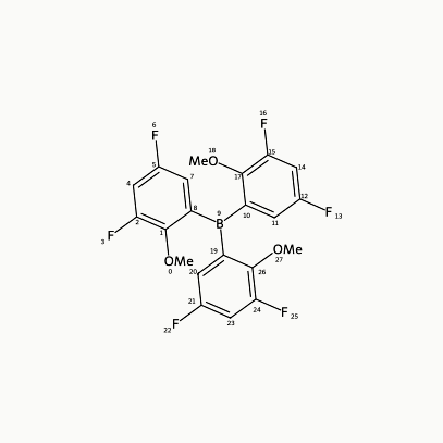 COc1c(F)cc(F)cc1B(c1cc(F)cc(F)c1OC)c1cc(F)cc(F)c1OC